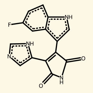 O=C1NC(=O)C(c2c[nH]c3ccc(F)cc23)=C1c1cnc[nH]1